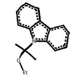 CCOC(C)(C)n1c2ccccc2c2ccccc21